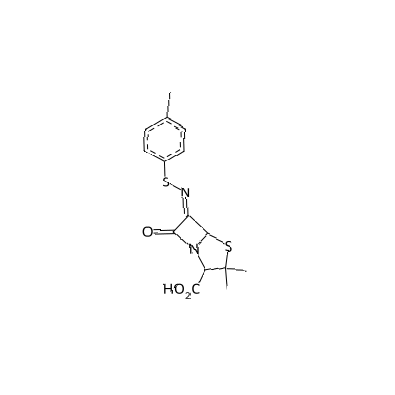 Cc1ccc(S/N=C2\C(=O)N3C2SC(C)(C)C3C(=O)O)cc1